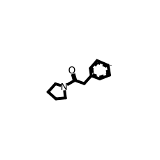 O=C(Cc1cc[c]cc1)N1CCCC1